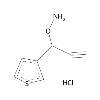 C#CC(ON)c1ccsc1.Cl